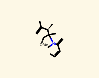 C=C(C)[C@@H](C)C(C)(COC)N(C)C(=C)/C=C\C